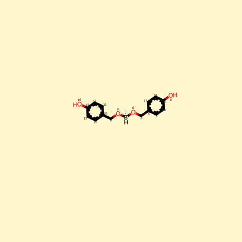 Oc1ccc(COBOCc2ccc(O)cc2)cc1